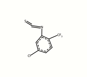 FC(F)(F)c1ccc(Cl)cc1N=C=S